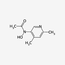 CC(=O)N(O)c1cnc(C)cc1C